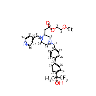 CCOCCOC(=O)CC1CN(Cc2ccc(-c3ccc(C(C)(O)C(F)(F)F)cc3)cc2)CCN1Cc1ccncc1